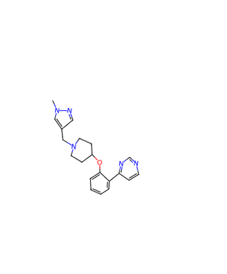 Cn1cc(CN2CCC(Oc3ccccc3-c3ccncn3)CC2)cn1